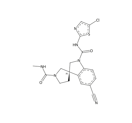 CNC(=O)N1CC[C@@]2(C1)CN(C(=O)Nc1ncc(Cl)s1)c1ccc(C#N)cc12